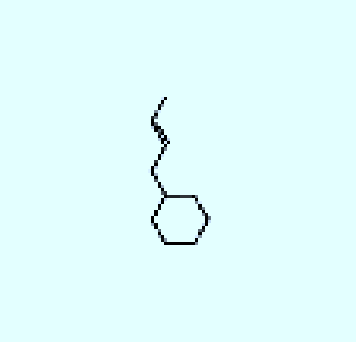 C[C]=CCC1CCCCC1